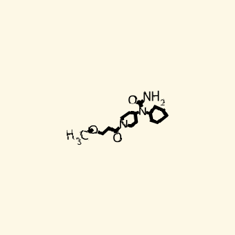 COCCC(=O)N1CCC(N(C(N)=O)C2CCCCC2)CC1